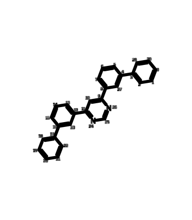 c1ccc(-c2cccc(-c3cc(-c4cccc(-c5ccccc5)c4)ncn3)c2)cc1